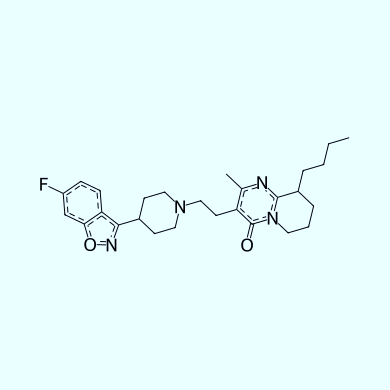 CCCCC1CCCn2c1nc(C)c(CCN1CCC(c3noc4cc(F)ccc34)CC1)c2=O